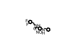 O=Nc1cc(C(=O)NCCc2ccc(F)c(F)c2)ccc1NCc1ccccc1